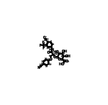 [C-]#[N+]c1ccc(NC(=O)[C@](C)(COc2ccc(C#N)cc2)OC2OC(C(=O)O)C(O)C(O)C2O)cc1C(F)(F)F